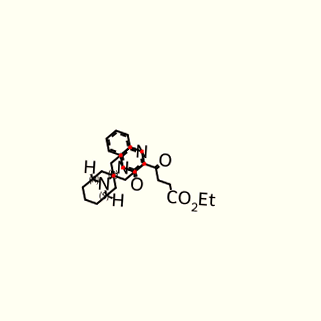 CCOC(=O)CCC(=O)c1nc2ccccc2n([C@H]2C[C@H]3CCC[C@@H](C2)N3C2CC3CCCC(C3)C2)c1=O